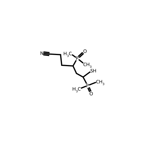 CP(C)(=O)C(S)CC(CCC#N)P(C)(C)=O